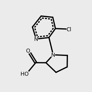 O=C(O)C1CCCN1c1ncccc1Cl